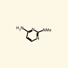 CNc1nccc(N)n1